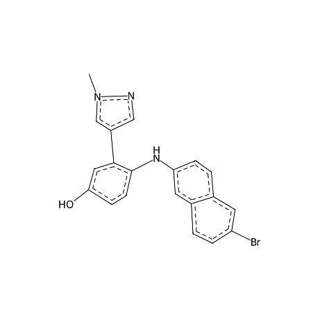 Cn1cc(-c2cc(O)ccc2Nc2ccc3cc(Br)ccc3c2)cn1